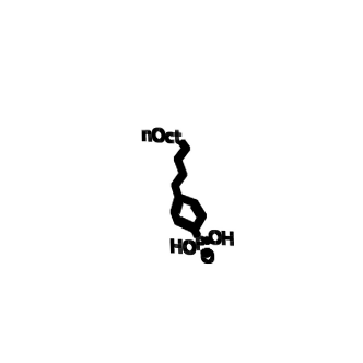 CCCCCCCCCCCCc1ccc(P(=O)(O)O)cc1